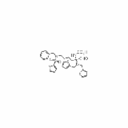 O=C[C@@](CCCCN(Cc1ccccc1)S(=O)(=O)c1cccs1)(NC(=O)O)N(Cc1cccs1)Cc1cccs1